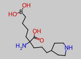 NC(CCCCB(O)O)(CCCC1CCNCC1)C(=O)O